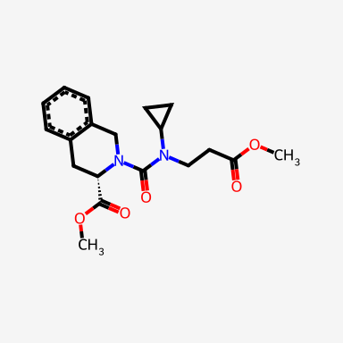 COC(=O)CCN(C(=O)N1Cc2ccccc2C[C@H]1C(=O)OC)C1CC1